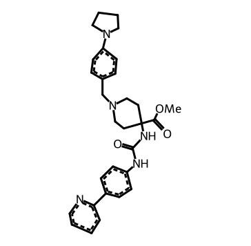 COC(=O)C1(NC(=O)Nc2ccc(-c3ccccn3)cc2)CCN(Cc2ccc(N3CCCC3)cc2)CC1